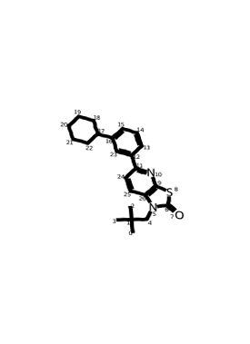 CC(C)(C)Cn1c(=O)sc2nc(-c3cccc(C4CCCCC4)c3)ccc21